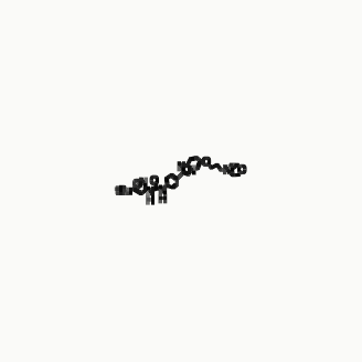 CC(C)(C)c1cc(NC(=O)Nc2ccc(-c3cn4cc(OCCCN5CC6CC5CO6)ccc4n3)cc2)no1